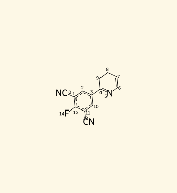 N#Cc1cc(C2=NC=CCC2)cc(C#N)c1F